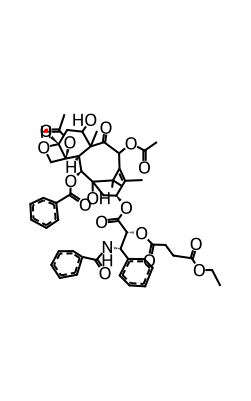 CCOC(=O)CCC(=O)O[C@@H](C(=O)O[C@H]1CC2(O)[C@@H](OC(=O)c3ccccc3)[C@H]3C(C)(C(=O)C(OC(C)=O)C(=C1C)C2(C)C)C(O)C[C@H]1OC[C@]13OC(C)=O)[C@@H](NC(=O)c1ccccc1)c1ccccc1